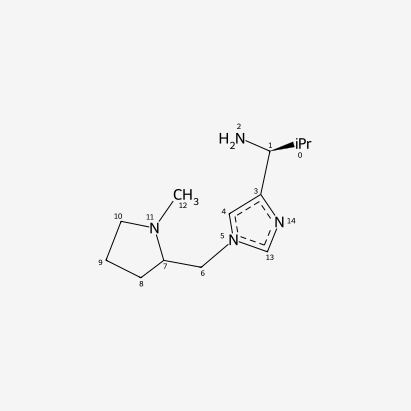 CC(C)[C@H](N)c1cn(CC2CCCN2C)cn1